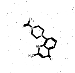 Cc1cc(=O)c2cccc(N3CCN(C(=O)C(F)(F)F)CC3)c2[nH]1